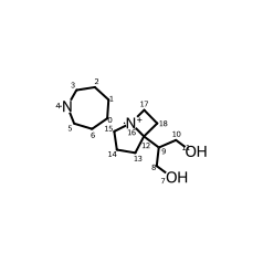 C1CCC[N]CC1.OCC(CO)C12CCC[N+]1CC2